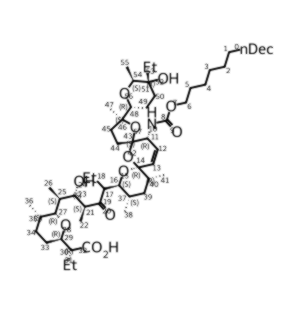 CCCCCCCCCCCCCCCCOC(=O)N[C@@H]1C=C[C@]2(O[C@H](C(CC)C(=O)[C@@H](C)[C@@H](O)[C@H](C)[C@@H]3O[C@@H]([C@@H](CC)C(=O)O)CC[C@@H]3C)[C@@H](C)C[C@H]2C)O[C@@]12CC[C@@](C)([C@H]1CC[C@](O)(CC)[C@H](C)O1)O2